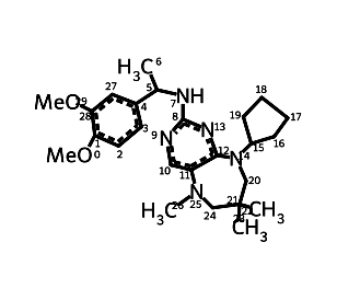 COc1ccc(C(C)Nc2ncc3c(n2)N(C2CCCC2)CC(C)(C)CN3C)cc1OC